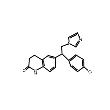 O=C1CCc2cc(C(Cn3ccnc3)c3ccc(Cl)cc3)ccc2N1